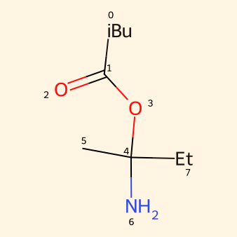 CCC(C)C(=O)OC(C)(N)CC